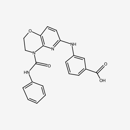 O=C(O)c1cccc(Nc2ccc3c(n2)N(C(=O)Nc2ccccc2)CCO3)c1